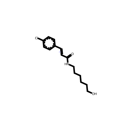 O=C(/C=C/c1ccc(Cl)cc1)NCCCCCCO